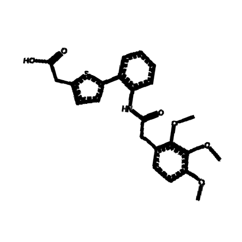 COc1ccc(CC(=O)Nc2ccccc2-c2ccc(CC(=O)O)s2)c(OC)c1OC